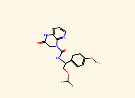 O=C1CN(C(=O)NC(COC(F)F)C2=CC=C(OC(F)(F)F)CC2)c2ncccc2N1